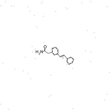 NC(=O)Cc1cccc(/C=C/c2ccccc2)c1